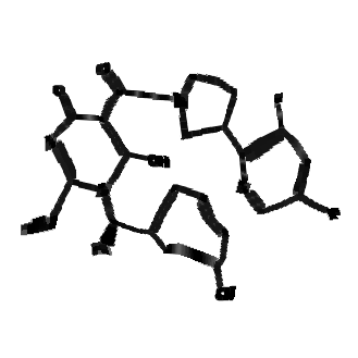 CCCCc1nc(=O)c(C(=O)N2CCC(c3ncc(F)cc3F)C2)c(O)n1[C@H](CC)c1cccc(C#N)c1